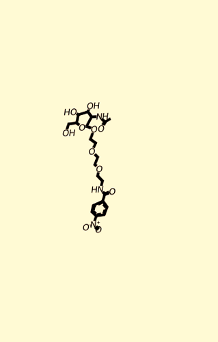 CC(=O)NC1C(OCCOCCOCCNC(=O)c2ccc([N+](=O)[O-])cc2)OC(CO)C(O)C1O